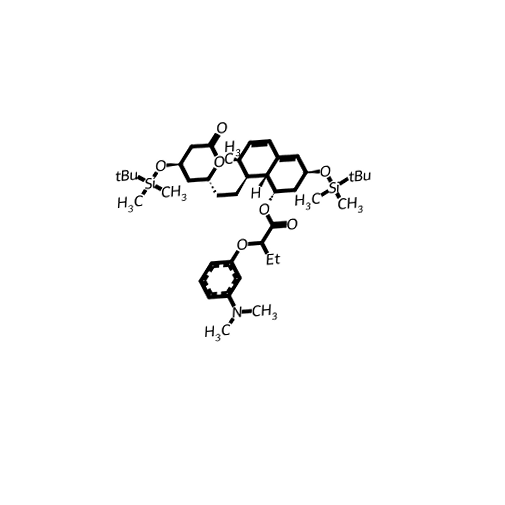 CCC(Oc1cccc(N(C)C)c1)C(=O)O[C@H]1C[C@H](O[Si](C)(C)C(C)(C)C)C=C2C=C[C@H](C)[C@H](CC[C@@H]3C[C@@H](O[Si](C)(C)C(C)(C)C)CC(=O)O3)[C@H]21